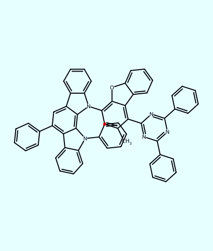 Cc1cc(-n2c3ccccc3c3cc(-c4ccccc4)c4c5ccccc5n(-c5ccccc5)c4c32)c2oc3ccccc3c2c1-c1nc(-c2ccccc2)nc(-c2ccccc2)n1